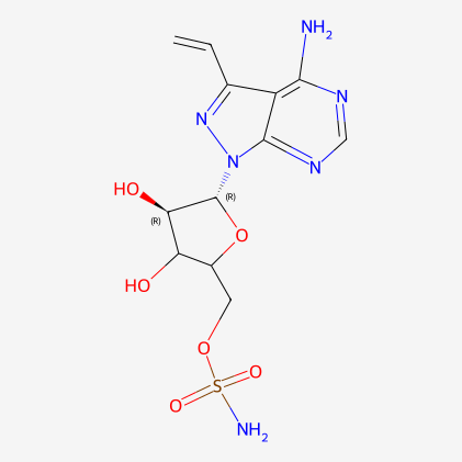 C=Cc1nn([C@@H]2OC(COS(N)(=O)=O)C(O)[C@H]2O)c2ncnc(N)c12